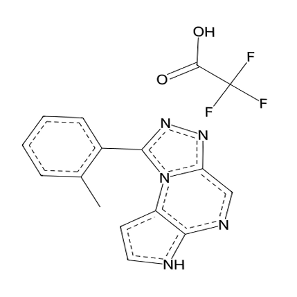 Cc1ccccc1-c1nnc2cnc3[nH]ccc3n12.O=C(O)C(F)(F)F